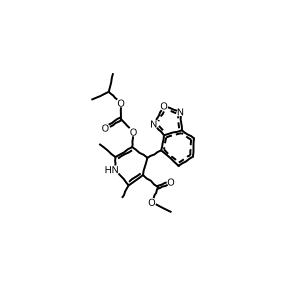 COC(=O)C1=C(C)NC(C)=C(OC(=O)OC(C)C)C1c1cccc2nonc12